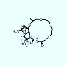 [2H]C([2H])([2H])N1/C(=N\C(=O)O)NC(=O)CCCCCCCCCC(C)OC(=O)C1NC(=N)N